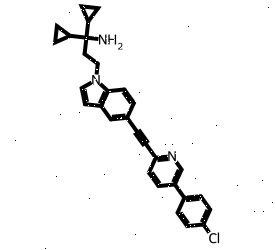 NC(CCn1ccc2cc(C#Cc3ccc(-c4ccc(Cl)cc4)cn3)ccc21)(C1CC1)C1CC1